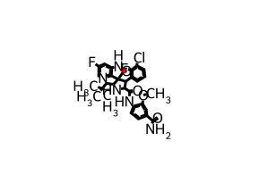 COc1cc(C(N)=O)ccc1NC(=O)C1NC(CC(C)(C)C)C2(C(=O)Nc3cc(F)cnc32)C1c1cccc(Cl)c1F